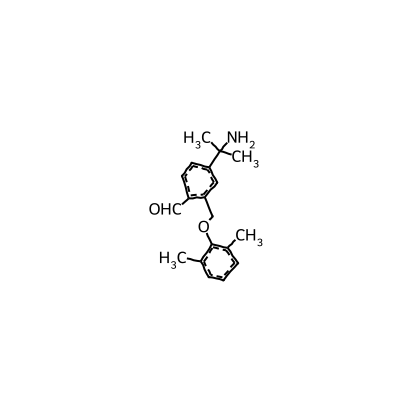 Cc1cccc(C)c1OCc1cc(C(C)(C)N)ccc1C=O